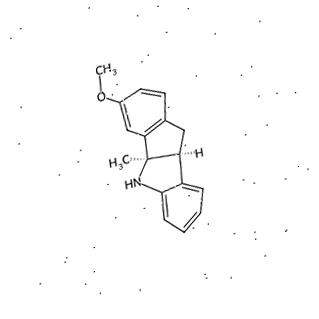 COc1ccc2c(c1)[C@]1(C)Nc3ccccc3[C@@H]1C2